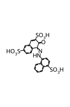 O=C1C(S(=O)(=O)O)=Cc2cc(S(=O)(=O)O)ccc2C1=NNc1ccc(S(=O)(=O)O)c2ccccc12